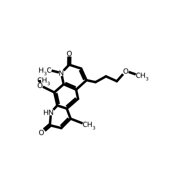 COCCCc1cc(=O)n(C)c2c(OC)c3[nH]c(=O)cc(C)c3cc12